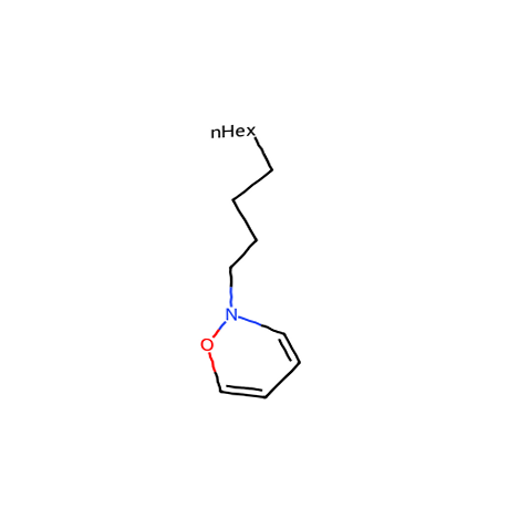 CCCCCCCCCCN1C=CC=CO1